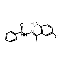 C/C(=N\NC(=O)c1ccccc1)c1cc(Cl)ccc1N